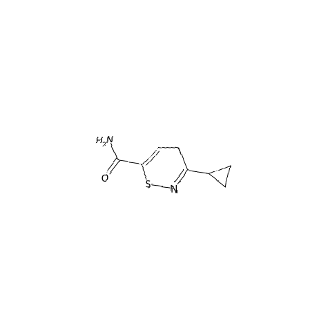 NC(=O)C1=CCC(C2CC2)=NS1